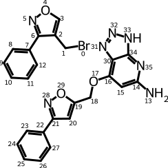 BrCc1conc1-c1ccccc1.Nc1cc(OCc2cc(-c3ccccc3)no2)c2nn[nH]c2n1